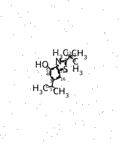 CC(C)c1cc(O)c2nc(C(C)(C)C)sc2c1